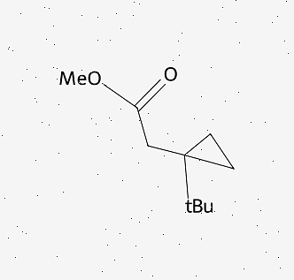 COC(=O)CC1(C(C)(C)C)CC1